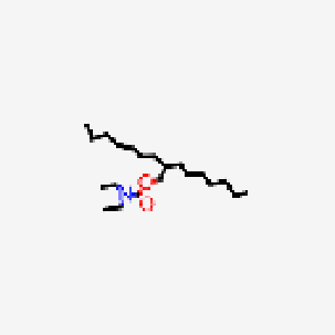 CCCCCCCC(CCCCCCC)COC(=O)N(CC)CC